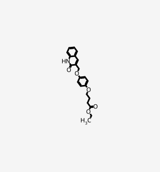 CCOC(=O)CCCOc1ccc(OCc2cc3ccccc3[nH]c2=O)cc1